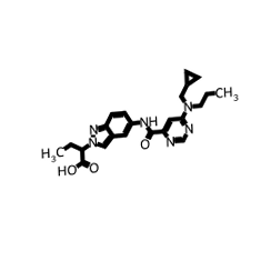 CCCN(CC1CC1)c1cc(C(=O)Nc2ccc3nn(C(CC)C(=O)O)cc3c2)ncn1